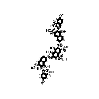 COc1ccc(N=Nc2c(S(=O)(=O)O)cc3cc(N=Nc4c(S(=O)(=O)O)cc5c(S(=O)(=O)O)cc(N=Nc6ccc7cc(S(=O)(=O)O)c(N=Nc8ccc(OC)cc8S(=O)(=O)O)c(O)c7c6)c(N)c5c4O)ccc3c2O)c(S(=O)(=O)O)c1